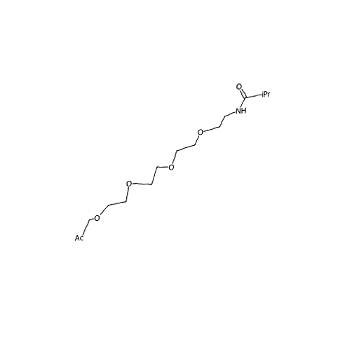 CC(=O)COCCOCCOCCOCCNC(=O)C(C)C